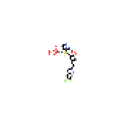 O=C(O)CCSC1c2cc(/C=C/c3ccc4cc(F)c(F)cc4n3)ccc2OCc2ncccc21